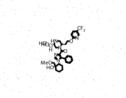 COC[C@]1(O)CCCC[C@H]1n1cnc(C(=O)N2CCNC[C@H]2CCOc2ccc(C(F)(F)F)cn2)c1-c1ccccc1.Cl.Cl.Cl